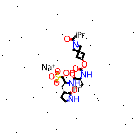 CC(C)C[C@H](NC(=O)OC1CC2(C1)CN(C(=O)C(C)C)C2)C(=O)N[C@@H](C[C@H]1CCNC1=O)C(O)S(=O)(=O)[O-].[Na+]